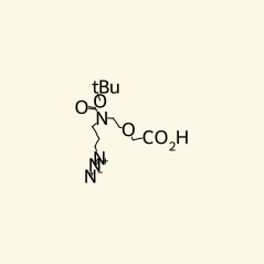 CC(C)(C)OC(=O)N(CCCN=[N+]=[N-])CCOCC(=O)O